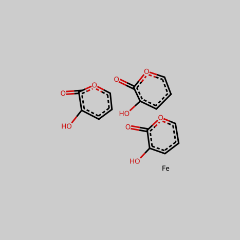 O=c1occcc1O.O=c1occcc1O.O=c1occcc1O.[Fe]